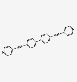 C(#Cc1ccc(-c2ccc(C#Cc3ccncc3)cc2)cc1)c1ccncc1